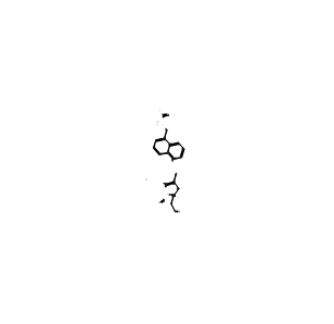 C[C@@H](O)[C@H]1C(=O)N2C(C=O)=C(COc3cccc4c(CNC(=N)N)cccc34)[C@H](C)[C@H]12